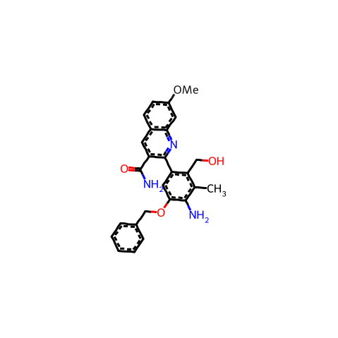 COc1ccc2cc(C(N)=O)c(-c3cc(OCc4ccccc4)c(N)c(C)c3CO)nc2c1